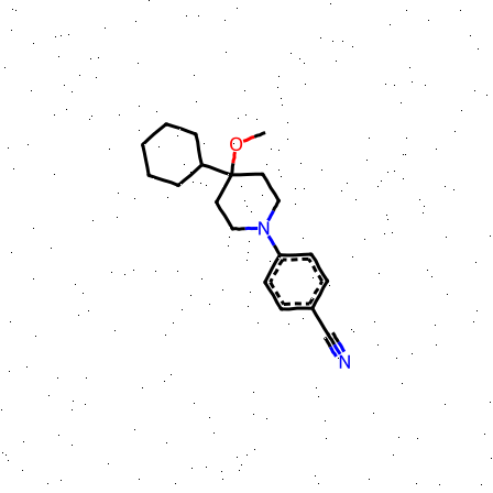 COC1(C2CCCCC2)CCN(c2ccc(C#N)cc2)CC1